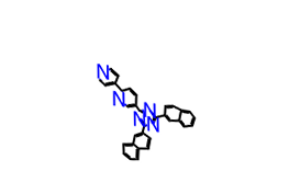 c1ccc2cc(-c3nc(-c4ccc(-c5ccncc5)nc4)nc(-c4ccc5ccccc5c4)n3)ccc2c1